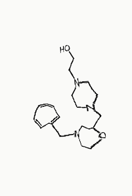 OCCN1CCN(CC2CN(Cc3ccccc3)CCO2)CC1